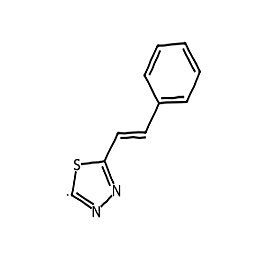 [c]1nnc(C=Cc2ccccc2)s1